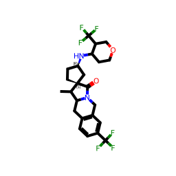 CC1C2Cc3ccc(C(F)(F)F)cc3CN2C(=O)[C@]12CC[C@@H](NC1CCOCC1C(F)(F)F)C2